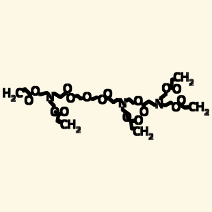 C=CC(=O)OCCN(CCOC(=O)C=C)CCC(=O)OCCOCCOC(=O)CCN(CCOC(=O)C=C)CCOC(=O)CCN(CCOC(=O)C=C)CCOC(=O)C=C